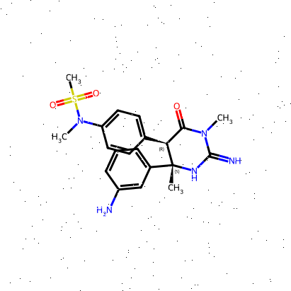 CN1C(=N)N[C@](C)(c2cccc(N)c2)[C@@H](c2ccc(N(C)S(C)(=O)=O)cc2)C1=O